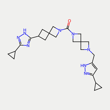 O=C(N1CC2(CC(c3nc(C4CC4)n[nH]3)C2)C1)N1CC2(CN(Cc3cc(C4CC4)n[nH]3)C2)C1